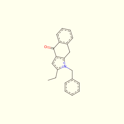 CCc1cc2c(n1Cc1ccccc1)Cc1ccccc1C2=O